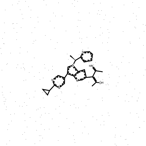 CC(=N)/C(=C(/C)O)c1cnc2c(-c3cnc(C4CC4)nc3)cn([C@@H](C)c3ccccn3)c2c1